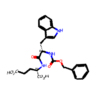 O=C(O)CC[C@H](NC(=O)[C@H](Cc1c[nH]c2ccccc12)NC(=O)OCc1ccccc1)C(=O)O